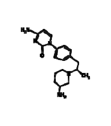 CC(Cc1ccc(-n2ccc(N)nc2=O)cc1)N1CCCC(N)C1